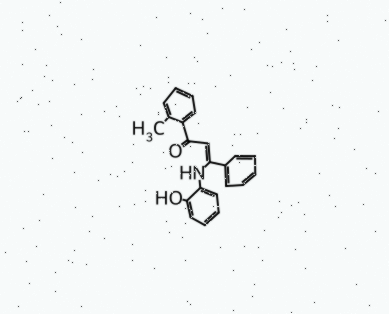 Cc1ccccc1C(=O)/C=C(\Nc1ccccc1O)c1ccccc1